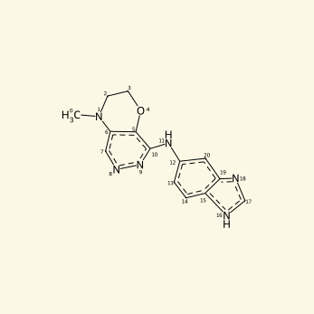 CN1CCOc2c1cnnc2Nc1ccc2[nH]cnc2c1